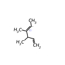 C=CC(C)/C(C)=[C]/C